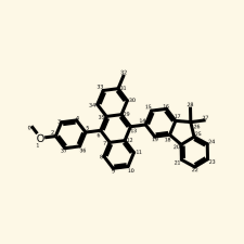 COc1ccc(-c2c3ccccc3c(-c3ccc4c(c3)-c3ccccc3C4(C)C)c3cc(C)ccc23)cc1